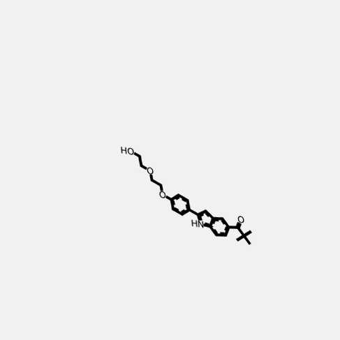 CC(C)(C)C(=O)c1ccc2[nH]c(-c3ccc(OCCOCCO)cc3)cc2c1